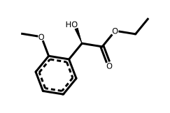 CCOC(=O)[C@H](O)c1ccccc1OC